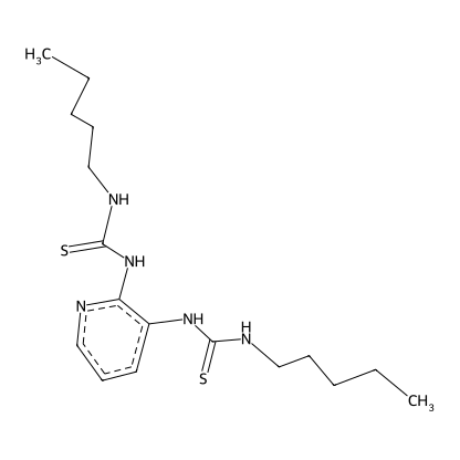 CCCCCNC(=S)Nc1cccnc1NC(=S)NCCCCC